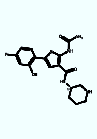 NC(=O)Nc1sc(-c2ccc(F)cc2O)cc1C(=O)N[C@H]1CCCNC1